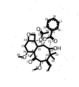 C/C=C1\[C@@H](OC)C(=O)[C@@]2(C)C([C@H](OC(=O)c3ccccc3)[C@@](C)(O)C1(C)C)[C@]1(OC(C)=O)COC1C[C@@H]2OC